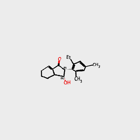 CCc1cc(C)cc(C)c1[C@H]1C(=O)C2=CCCCC2[C@H]1O